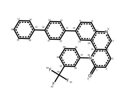 O=c1ccc2cnc3ccc(-c4ccc(-c5ccccc5)cc4)cc3c2n1-c1cccc(C(F)(F)F)c1